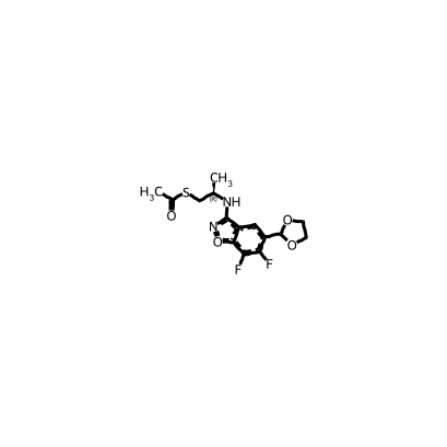 CC(=O)SC[C@@H](C)Nc1noc2c(F)c(F)c(C3OCCO3)cc12